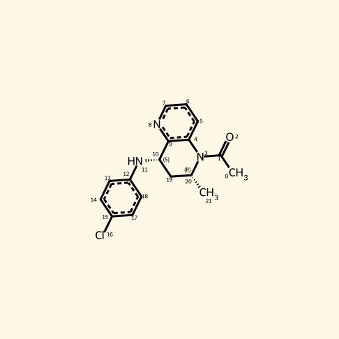 CC(=O)N1c2cccnc2[C@@H](Nc2ccc(Cl)cc2)C[C@H]1C